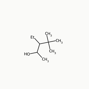 CCC(C(C)O)C(C)(C)C